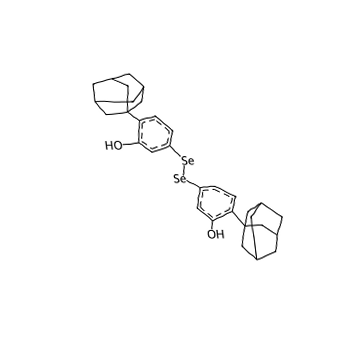 Oc1cc([Se][Se]c2ccc(C34CC5CC(CC(C5)C3)C4)c(O)c2)ccc1C12CC3CC(CC(C3)C1)C2